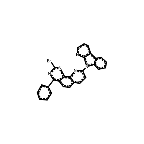 Brc1nc(-c2ccccc2)c2ccc3ccc(-n4c5ccccc5c5cccnc54)nc3c2n1